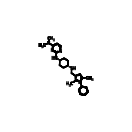 Cc1cc(CN[C@H]2CC[C@@H](Nc3nccc(N(C)C)n3)CC2)c(C)n1-c1ccccc1